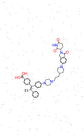 CC/C(=C(\c1ccc(B(O)O)cc1)c1ccc(N2CCN(CCCC3CCN(c4ccc5c(c4)CN(C4CCC(=O)NC4=O)C5=O)CC3)CC2)cc1)c1ccccc1